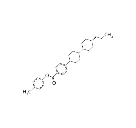 CCC[C@H]1CC[C@H](C2CCC(c3ccc(C(=O)Oc4ccc(C)cc4)cc3)CC2)CC1